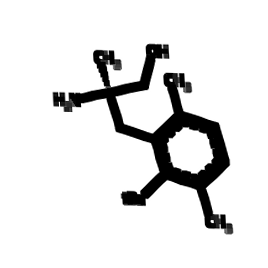 Cc1ccc(C)c(C(C)(C)C)c1C[C@@](C)(N)CO